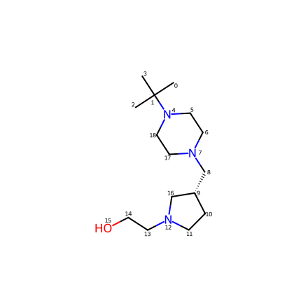 CC(C)(C)N1CCN(C[C@@H]2CCN(CCO)C2)CC1